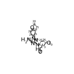 COC1=CC(=C=O)C(Nc2nc(N)n(-c3ccc(OC(C)C)cc3)n2)C=C1